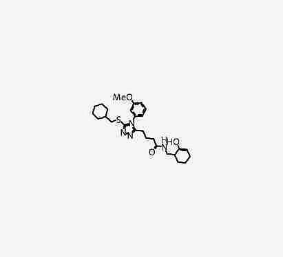 COc1cccc(-n2c(CCCC(=O)NCC3CCCC=C3O)nnc2SCC2CCCCC2)c1